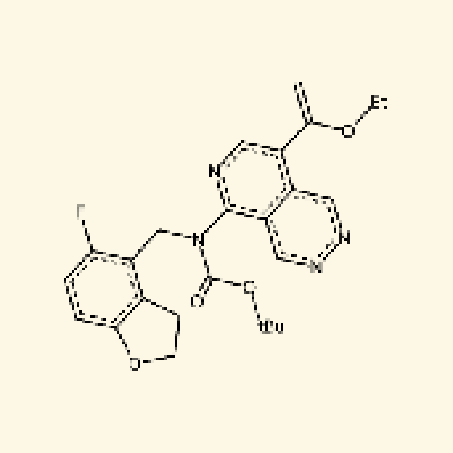 C=C(OCC)c1cnc(N(Cc2c(F)ccc3c2CCO3)C(=O)OC(C)(C)C)c2cnncc12